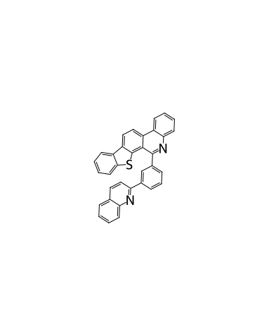 c1cc(-c2ccc3ccccc3n2)cc(-c2nc3ccccc3c3ccc4c5ccccc5sc4c23)c1